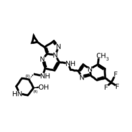 Cc1cc(C(F)(F)F)cc2nc(CNc3cc(NC[C@H]4CCNC[C@@H]4O)nc4c(C5CC5)cnn34)cn12